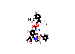 Cc1cc(Br)ccc1[C@@H](C)COC(=O)Nc1cc(F)c(O[C@@H]2CCOC2)c(CN(C)C(=O)OCc2ccccc2)c1